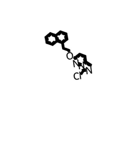 Clc1ncc2ccc(OCCc3cccc4ccccc34)nn12